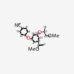 C=C(OC)c1cc(Oc2ccc(C#N)cc2)cc(OC(C)COC)c1